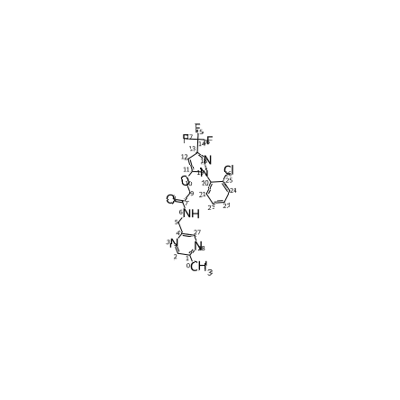 Cc1cnc(CNC(=O)COc2cc(C(F)(F)F)nn2-c2ccccc2Cl)cn1